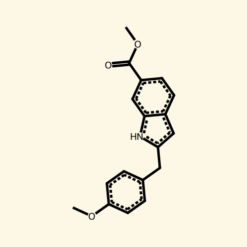 COC(=O)c1ccc2cc(Cc3ccc(OC)cc3)[nH]c2c1